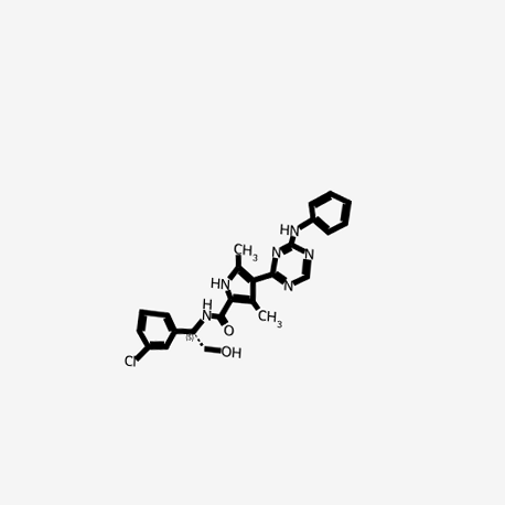 Cc1[nH]c(C(=O)N[C@H](CO)c2cccc(Cl)c2)c(C)c1-c1ncnc(Nc2ccccc2)n1